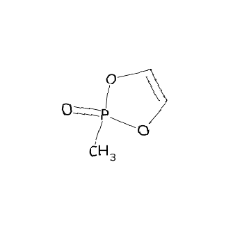 CP1(=O)OC=CO1